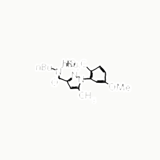 CCCCN(CCCC)C(=O)c1cc(C)n(-c2cc(OC)ccc2C(=O)O)n1